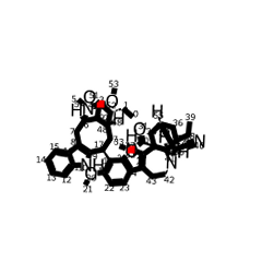 CC[C@H]1CN(C)[C@H]2Cc3c([nH]c4ccccc34)[C@H](c3c(OC)ccc4c5c([nH]c34)[C@]3(C(=O)OC)C[C@H]4C[C@H](CC)[C@@H]3[N@@](CC5)C4C#N)C[C@@H]1C2C(=O)OC